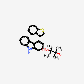 CC(C)(O)C(C)(C)O.c1ccc2c(c1)[nH]c1ccccc12.c1ccc2sccc2c1